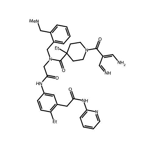 CCc1ccc(NC(=O)CN(Cc2ccccc2CNC)C(=O)C2(CC)CCN(C(=O)/C(C=N)=C/N)CC2)cc1CC(=O)Nc1ccccn1